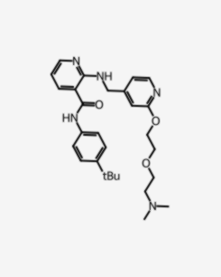 CN(C)CCOCCOc1cc(CNc2ncccc2C(=O)Nc2ccc(C(C)(C)C)cc2)ccn1